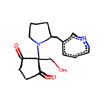 O=C1CCC(=O)C1(CO)N1CCCC1c1cccnc1